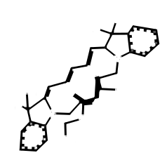 CCOC(=O)C=CCN1c2ccccc2C(C)(C)C1C=CC=CC=C1N(CC=CC(=O)O)c2ccccc2C1(C)C